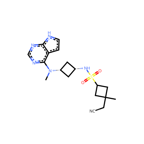 CN(c1ncnc2[nH]ccc12)[C@H]1C[C@@H](NS(=O)(=O)C2CC(C)(CC#N)C2)C1